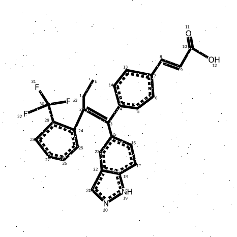 CCC(=C(c1ccc(C=CC(=O)O)cc1)c1ccc2[nH]ncc2c1)c1ccccc1C(F)(F)F